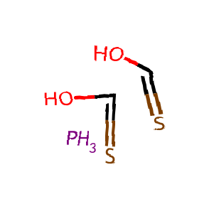 OC=S.OC=S.P